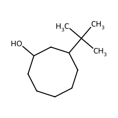 CC(C)(C)C1CCCCCC(O)C1